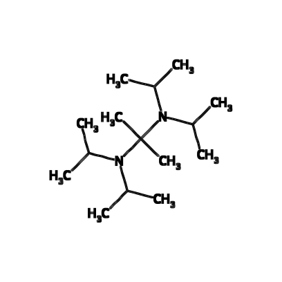 CC(C)N(C(C)C)C(C)(C)N(C(C)C)C(C)C